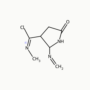 C=NC1NC(=O)CC1/C(Cl)=N\C